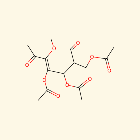 CO/C(C(C)=O)=C(/OC(C)=O)C(OC(C)=O)C(C=O)COC(C)=O